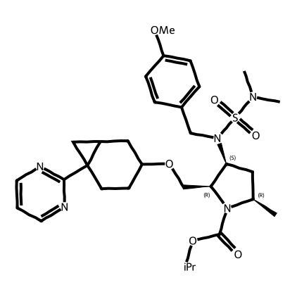 COc1ccc(CN([C@H]2C[C@@H](C)N(C(=O)OC(C)C)[C@H]2COC2CCC3(c4ncccn4)CC3C2)S(=O)(=O)N(C)C)cc1